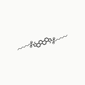 CCCCCCCCS(=O)(=O)c1cc2ccc3c4ccc5c(ccc6cc(S(=O)(=O)CCCCCCCC)sc65)c4ccc3c2s1